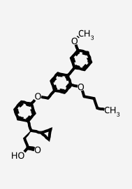 CCCCOc1cc(COc2cccc([C@H](CC(=O)O)C3CC3)c2)ccc1-c1cccc(OC)c1